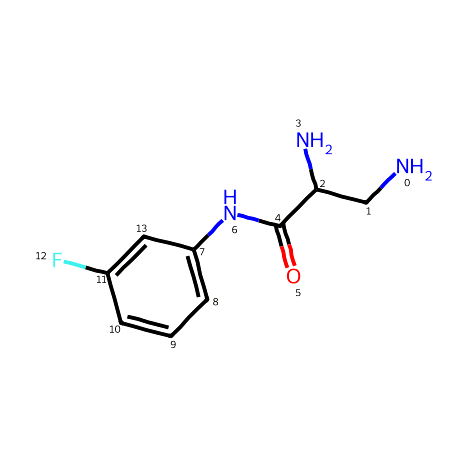 NCC(N)C(=O)Nc1cccc(F)c1